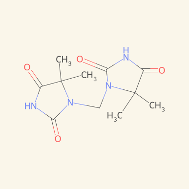 CC1(C)C(=O)NC(=O)N1CN1C(=O)NC(=O)C1(C)C